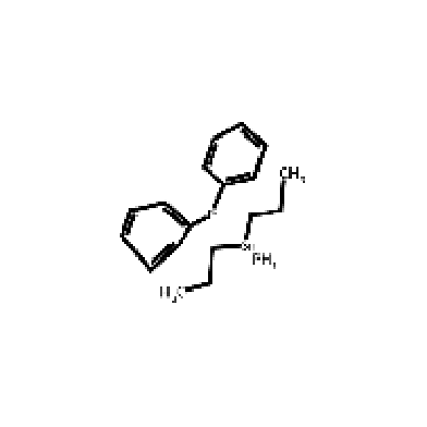 CC[CH2][Sn][CH2]CC.P.c1ccc([P]c2ccccc2)cc1